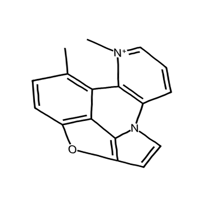 Cc1ccc2oc3ccn4c5ccc[n+](C)c5c1c2c34